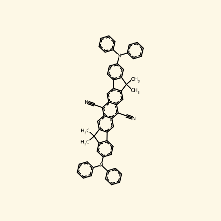 CC1(C)c2cc(N(c3ccccc3)c3ccccc3)ccc2-c2cc3c(C#N)c4cc5c(cc4c(C#N)c3cc21)-c1ccc(N(c2ccccc2)c2ccccc2)cc1C5(C)C